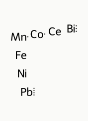 [Bi].[Ce].[Co].[Fe].[Mn].[Ni].[Pb]